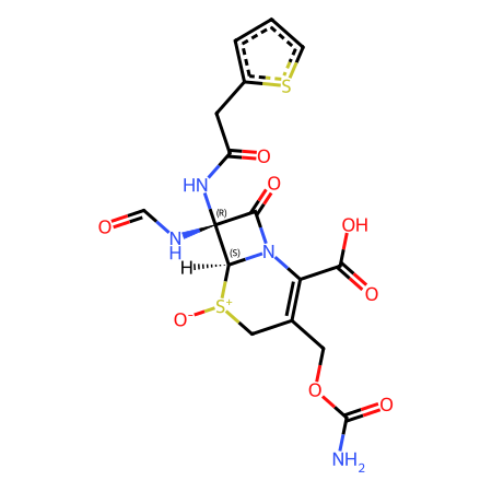 NC(=O)OCC1=C(C(=O)O)N2C(=O)[C@@](NC=O)(NC(=O)Cc3cccs3)[C@@H]2[S+]([O-])C1